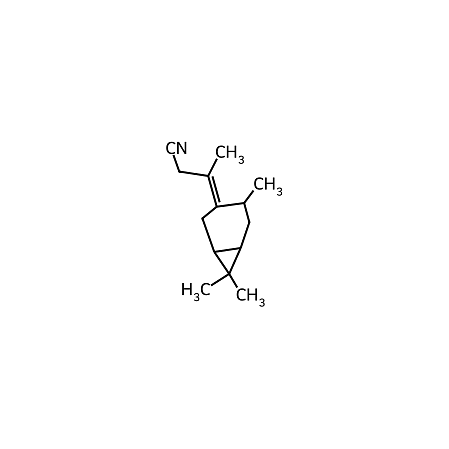 CC(CC#N)=C1CC2C(CC1C)C2(C)C